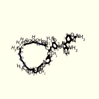 CO[C@H]1C[C@@H]2CC[C@@H](C)[C@@](O)(O2)C(=O)C(=O)N2CCCC[C@H]2C(=O)O[C@H]([C@H](C)C[C@@H]2CC[C@@H](CBn3nc(-c4ccc5oc(N)nc5c4)c4c(N)ncnc43)[C@H](OC)C2)CC(=O)[C@H](C)/C=C(\C)[C@@H](O)[C@@H](OC)C(=O)[C@H](C)C[C@H](C)/C=C/C=C/C=C/1C